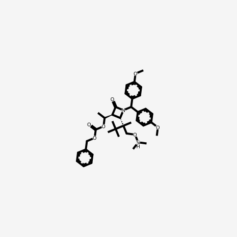 COc1ccc(C(c2ccc(OC)cc2)N2C(=O)[C@H](C(C)OC(=O)OCc3ccccc3)[C@H]2C(C)(CO[SiH](C)C)C(C)(C)C)cc1